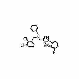 CCCCn1c(CN(Cc2ccccc2)Cc2cccc(Cl)c2Cl)cnc1-c1cccc(F)c1